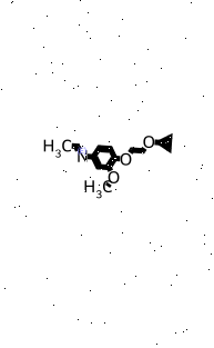 C/C=N/c1ccc(OCCOC2CC2)c(OC)c1